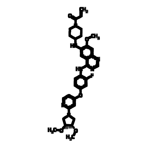 C=CC(=O)N1CCC(Nc2cc3c(Nc4ccc(Oc5ccnc(N6C[C@H](OC)[C@@H](OC)C6)c5)cc4F)ncnc3cc2OC)CC1